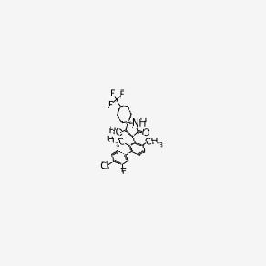 Cc1ccc(-c2ccc(Cl)c(F)c2)c(C)c1C1=C(O)C2(CCC(C(F)(F)F)CC2)NC1=O